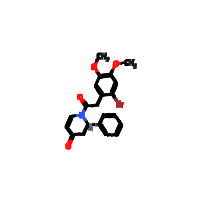 COc1cc(Br)c(CC(=O)N2C=CC(=O)C[C@H]2c2ccccc2)cc1OC